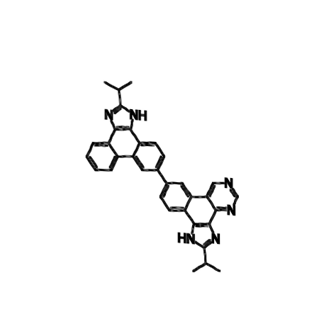 CC(C)c1nc2c3ccccc3c3cc(-c4ccc5c(c4)c4cncnc4c4nc(C(C)C)[nH]c54)ccc3c2[nH]1